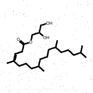 CC(=CCC(=O)OCC(O)CO)CCCC(C)CCCC(C)CCCC(C)C